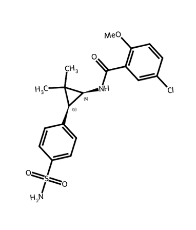 COc1ccc(Cl)cc1C(=O)N[C@H]1[C@@H](c2ccc(S(N)(=O)=O)cc2)C1(C)C